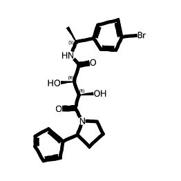 C[C@H](NC(=O)[C@H](O)[C@@H](O)C(=O)N1CCCC1c1ccccc1)c1ccc(Br)cc1